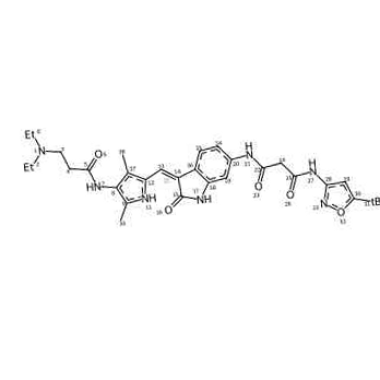 CCN(CC)CCC(=O)Nc1c(C)[nH]c(/C=C2\C(=O)Nc3cc(NC(=O)CC(=O)Nc4cc(C(C)(C)C)on4)ccc32)c1C